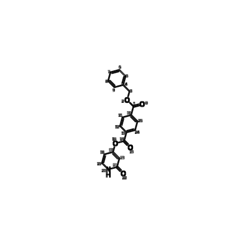 O=C(OCc1ccccc1)c1ccc(C(=O)Oc2cc[nH]c(=O)c2)cc1